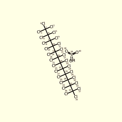 ClC(Cl)(Cl)C(Cl)(Cl)C(Cl)(Cl)C(Cl)(Cl)C(Cl)(Cl)C(Cl)(Cl)C(Cl)(Cl)C(Cl)(Cl)C(Cl)(Cl)C(Cl)(Cl)C(Cl)(Cl)C(Cl)(Cl)Cl.O=[SH](=O)O